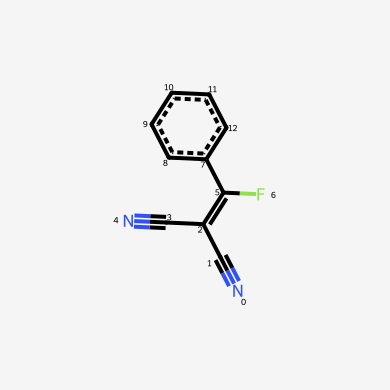 N#CC(C#N)=C(F)c1ccccc1